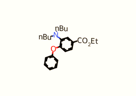 CCCCN(CCCC)c1cc(C(=O)OCC)ccc1Oc1ccccc1